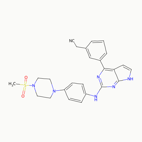 CS(=O)(=O)N1CCN(c2ccc(Nc3nc(-c4cccc(CC#N)c4)c4cc[nH]c4n3)cc2)CC1